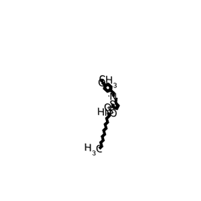 CCCCCCCCCCCCNS(=O)(=O)c1ccc(C[N]Cc2ccc(OC)cc2)s1